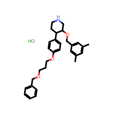 Cc1cc(C)cc(COC2CNCCC2c2ccc(OCCCOCc3ccccc3)cc2)c1.Cl